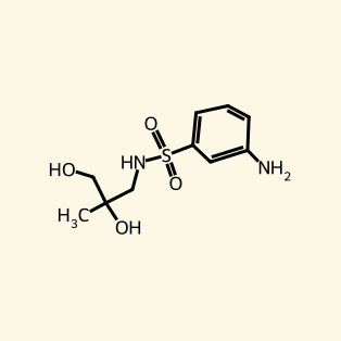 CC(O)(CO)CNS(=O)(=O)c1cccc(N)c1